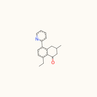 CCc1ccc(-c2ccccn2)c2c1C(=O)CC(C)C2